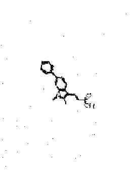 Cc1c(CCC(=O)O)c2ccc(-c3ccccc3)cc2n1C